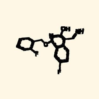 N=Cc1c(O)nc(OCc2ccccc2F)c2cc(F)ccc12